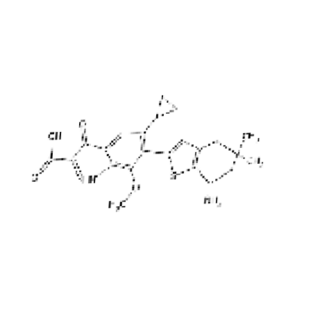 COc1c(-c2cc3c(s2)C(N)CC(C)(C)C3)c(C2CC2)cc2c(=O)c(C(=O)O)c[nH]c12